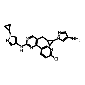 Nc1cnn(C2CC2Cc2cnc(Nc3cnn(C4CC4)c3)nc2-c2ccc(Cl)nc2)c1